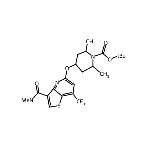 CNC(=O)c1csc2c(C(F)(F)F)cc(OC3CC(C)N(C(=O)OC(C)(C)C)C(C)C3)nc12